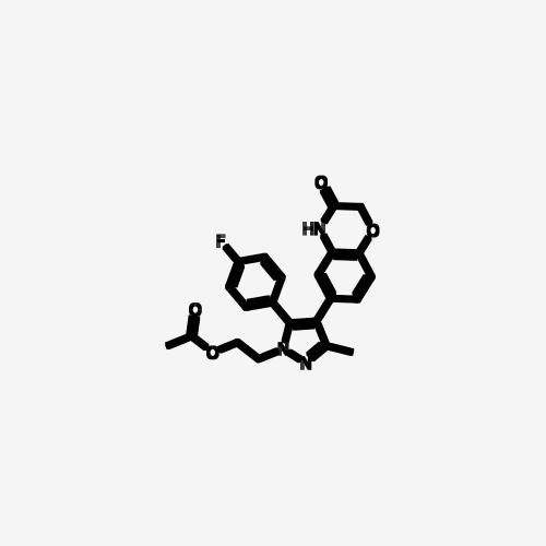 CC(=O)OCCn1nc(C)c(-c2ccc3c(c2)NC(=O)CO3)c1-c1ccc(F)cc1